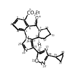 CCOC(=O)c1cccc2c1C(=O)N1CCC[C@H]1c1c(-c3nc(C4CC4)no3)ncn1-2